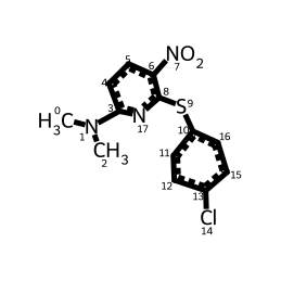 CN(C)c1ccc([N+](=O)[O-])c(Sc2ccc(Cl)cc2)n1